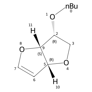 CCCCO[C@@H]1CO[C@@H]2C=CO[C@@H]21